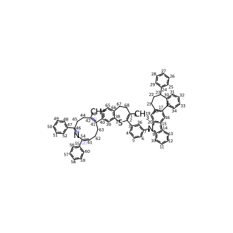 CC1=C(c2cccc(-n3c4ccccc4c4cc5c(cc43)CCC(c3ccccc3)c3ccccc3-5)c2)Sc2cc(/C3=C(\C)CC/C(c4ccccc4)=N\C(c4ccccc4)=C/CC3)ccc2CC1